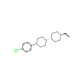 C=C[C@H]1CC[C@H](C2CCC(c3ccc(Cl)cc3)CC2)CC1